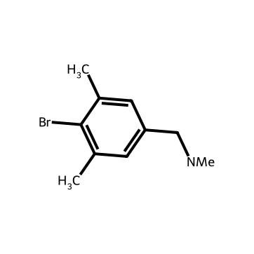 CNCc1cc(C)c(Br)c(C)c1